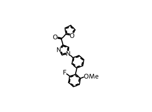 COc1cccc(F)c1-c1cccc(-n2cnc(C(=O)c3ccco3)c2)c1